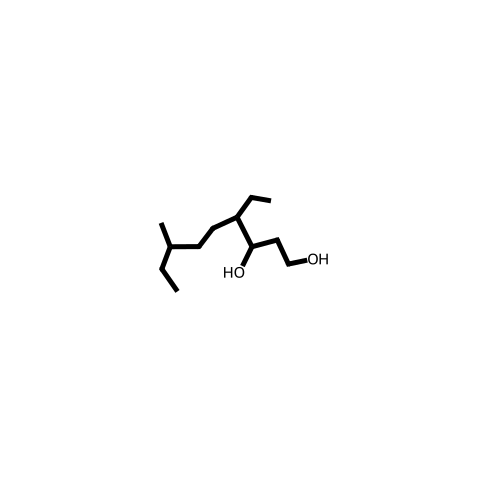 CCC(C)CCC(CC)C(O)CCO